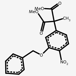 COC(=O)C(C)(C(=O)OC)c1ccc([N+](=O)[O-])c(OCc2ccccc2)c1